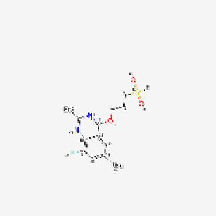 CCc1nc(OCCCS(C)(=O)=O)c2cc(C(C)(C)C)cc(F)c2n1